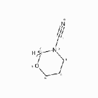 N#CN1CCCO[SiH2]1